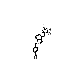 N#Cc1ccc(Cn2ccc3c(CC4SC(=O)NC4=O)cccc32)cc1